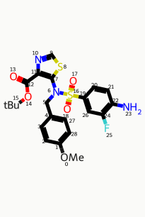 COc1ccc(CN(c2scnc2C(=O)OC(C)(C)C)S(=O)(=O)c2ccc(N)c(F)c2)cc1